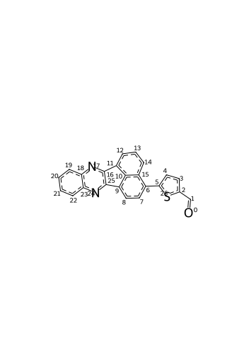 O=Cc1ccc(-c2ccc3c4c(cccc24)-c2nc4ccccc4nc2-3)s1